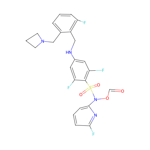 O=CON(c1cccc(F)n1)S(=O)(=O)c1c(F)cc(NCc2c(F)cccc2CN2CCC2)cc1F